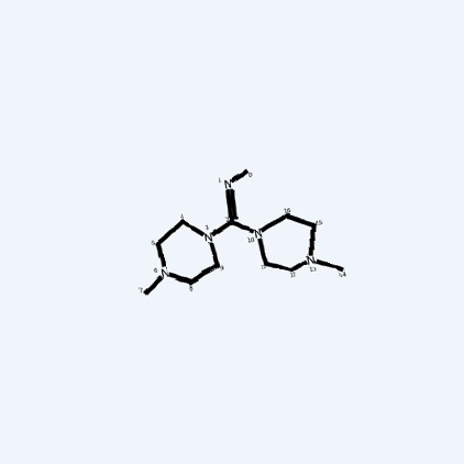 CN=C(N1CCN(C)CC1)N1CCN(C)CC1